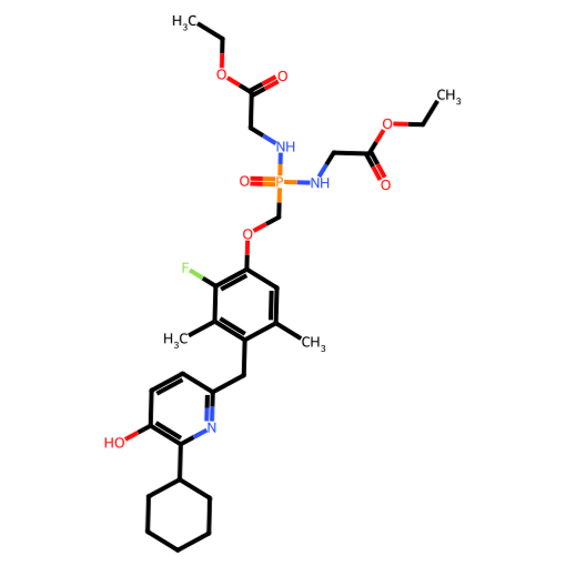 CCOC(=O)CNP(=O)(COc1cc(C)c(Cc2ccc(O)c(C3CCCCC3)n2)c(C)c1F)NCC(=O)OCC